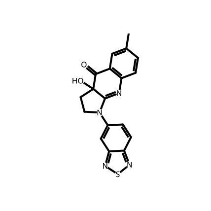 Cc1ccc2c(c1)C(=O)C1(O)CCN(c3ccc4nsnc4c3)C1=N2